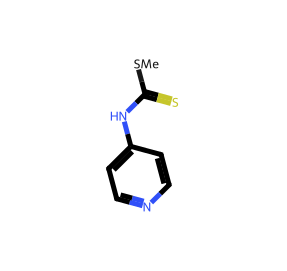 CSC(=S)Nc1ccncc1